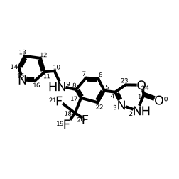 O=C1NN=C(c2ccc(NCc3cccnc3)c(C(F)(F)F)c2)CO1